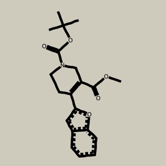 COC(=O)C1=C(c2cc3ccccc3o2)CCN(C(=O)OC(C)(C)C)C1